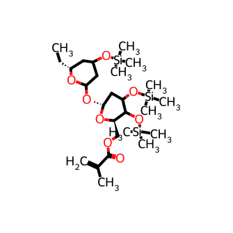 C=C(C)C(=O)OC[C@H]1O[C@H](OC2CC(O[Si](C)(C)C)C[C@@H](CC)O2)CC(O[Si](C)(C)C)C1O[Si](C)(C)C